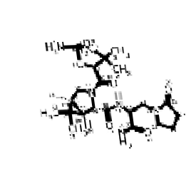 CC(C)(C)C(OC(N)=O)C(=O)N1C[C@H]2[C@@H]([C@H]1C(=O)NC(CN1CCCC1=O)C(N)=O)C2(C)C